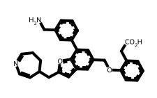 NCc1cccc(-c2cc(COc3ccccc3CC(=O)O)cc3cc(CC4C=CN=CCC4)oc23)c1